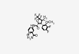 COc1c([C@@H]2[C@H](C(=O)Nc3cc[n+]([O-])c(C(N)=O)c3)O[C@](F)(C(F)(F)F)[C@H]2C)ccc(F)c1F